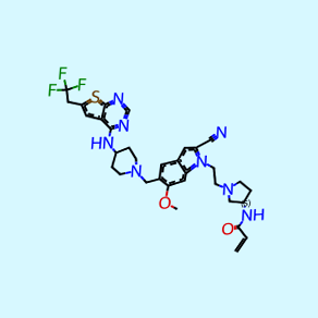 C=CC(=O)N[C@H]1CCN(CCn2c(C#N)cc3cc(CN4CCC(Nc5ncnc6sc(CC(F)(F)F)cc56)CC4)c(OC)cc32)C1